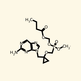 [CH2]OP(=O)(COC1(Cn2cnc3cnc(N)nc32)CC1)OCOC(=O)CCC